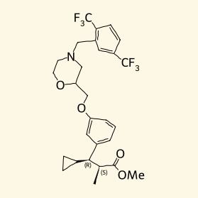 COC(=O)[C@@H](C)[C@H](c1cccc(OCC2CN(Cc3cc(C(F)(F)F)ccc3C(F)(F)F)CCO2)c1)C1CC1